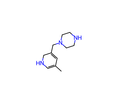 CC1=CNCC(CN2CCNCC2)=C1